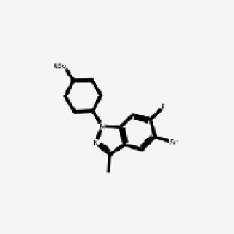 CC(=O)c1cc2c(C)nn(C3CCC(C(C)(C)C)CC3)c2cc1F